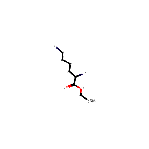 CCCCCCCCOC(=O)C(I)CCCCI